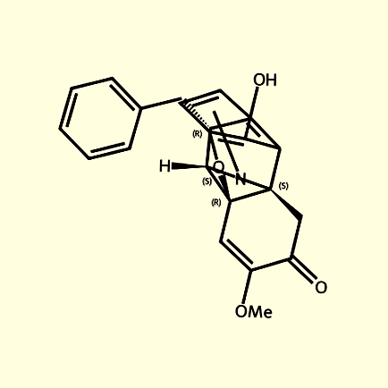 COC1=C[C@@]23Oc4ccc5c(c4O)[C@@]2(CC1=O)CN(C)[C@H]3[C@@H]5Cc1ccccc1